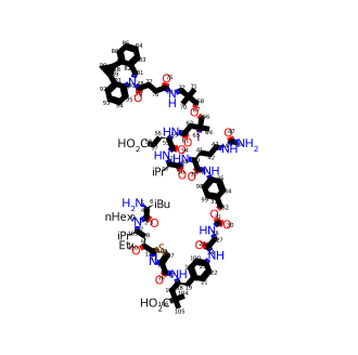 CCCCCCN(C(=O)[C@@H](N)[C@@H](C)CC)[C@H](C[C@@H](OCC)c1nc(C(=O)N[C@@H](Cc2ccc(NC(=O)CNC(=O)OCc3ccc(NC(=O)[C@H](CCCNC(N)=O)NC(=O)[C@@H](NC(=O)[C@H](CCC(=O)O)NC(=O)CC(C)(I)COCC(C)(C)CNC(=O)CCC(=O)N4Cc5ccccc5C5=C(C5)c5ccccc54)C(C)C)cc3)cc2)CC(C)(C)C(=O)O)cs1)C(C)C